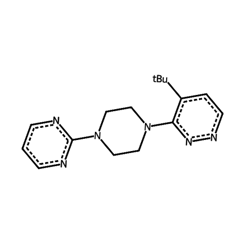 CC(C)(C)c1ccnnc1N1CCN(c2ncccn2)CC1